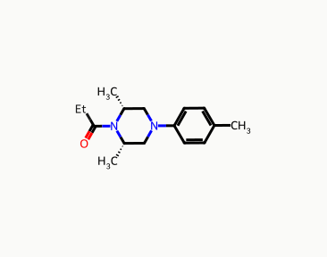 CCC(=O)N1[C@H](C)CN(c2ccc(C)cc2)C[C@@H]1C